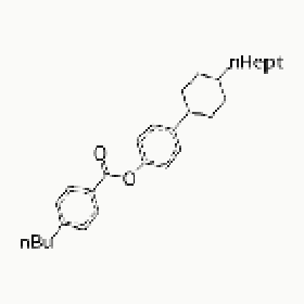 CCCCCCCC1CCC(c2ccc(OC(=O)c3ccc(CCCC)cc3)cc2)CC1